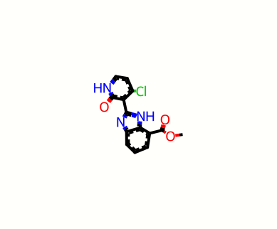 COC(=O)c1cccc2nc(-c3c(Cl)cc[nH]c3=O)[nH]c12